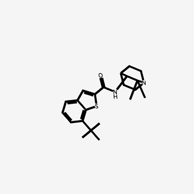 CC(C)(C)c1cccc2cc(C(=O)NC3C4CCN(CC4)C3(C)C)sc12